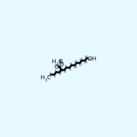 CCCCCC(CCCCCCCCCCO)C(=O)OC